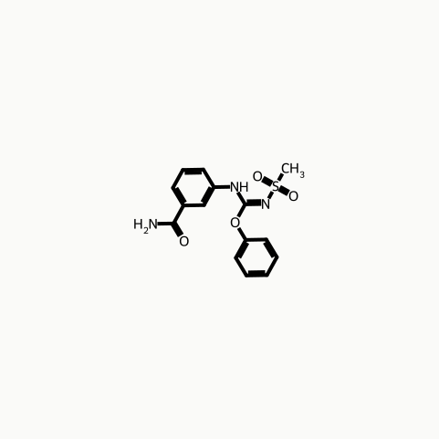 CS(=O)(=O)N=C(Nc1cccc(C(N)=O)c1)Oc1ccccc1